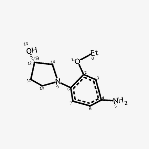 CCOc1cc(N)ccc1N1CC[C@H](O)C1